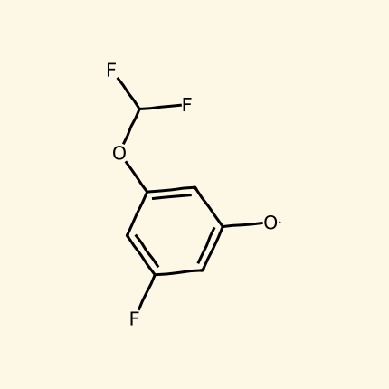 [O]c1cc(F)cc(OC(F)F)c1